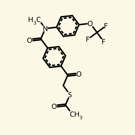 CC(=O)SCC(=O)c1ccc(C(=O)N(C)c2ccc(OC(F)(F)F)cc2)cc1